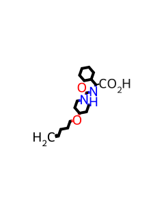 C=CCCCOC1CCN(C(=O)N[C@H](C(=O)O)C2CCCCC2)CC1